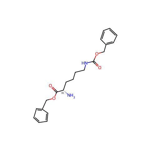 N[C@@H](CCCCNC(=O)OCc1ccccc1)C(=O)OCc1ccccc1